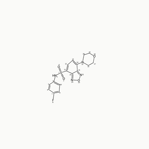 O=S(=O)(Nc1ccc(F)cc1)c1ccc(N2CCOCC2)c2nonc12